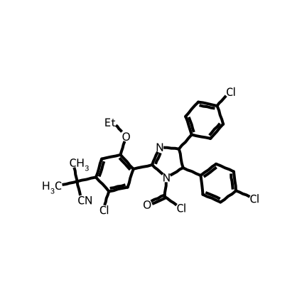 CCOc1cc(C(C)(C)C#N)c(Cl)cc1C1=NC(c2ccc(Cl)cc2)C(c2ccc(Cl)cc2)N1C(=O)Cl